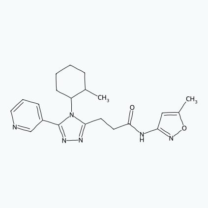 Cc1cc(NC(=O)CCc2nnc(-c3cccnc3)n2C2CCCCC2C)no1